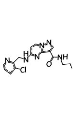 CCCNC(=O)c1cnn2ccc(NCc3ncccc3Cl)nc12